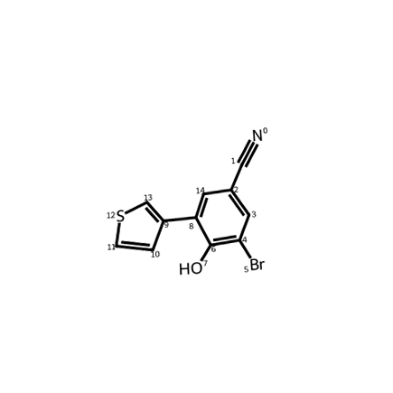 N#Cc1cc(Br)c(O)c(-c2ccsc2)c1